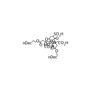 CCCCCCCCCCCCOC(=O)CC(CC(=O)O)(OC(=O)CC(C(=O)OC(CC(=O)O)(CC(=O)OCCCCCCCCCCCC)C(=O)O)S(=O)(=O)O)C(=O)O